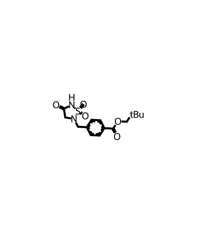 CC(C)(C)COC(=O)c1ccc(CN2CC(=O)NS2(=O)=O)cc1